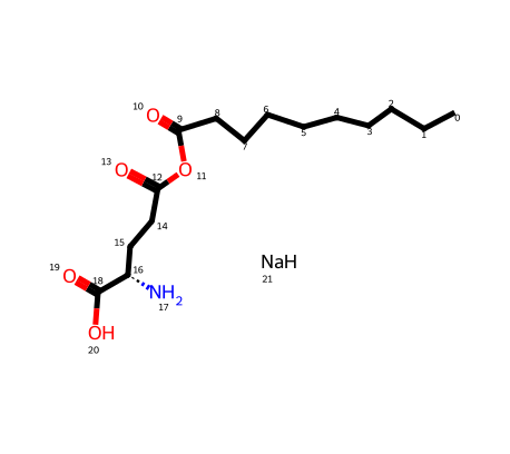 CCCCCCCCCC(=O)OC(=O)CC[C@H](N)C(=O)O.[NaH]